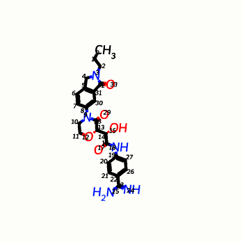 CCCN1Cc2ccc(N3CCO[C@H]([C@@H](O)C(=O)Nc4ccc(C(=N)N)cc4)C3=O)cc2C1=O